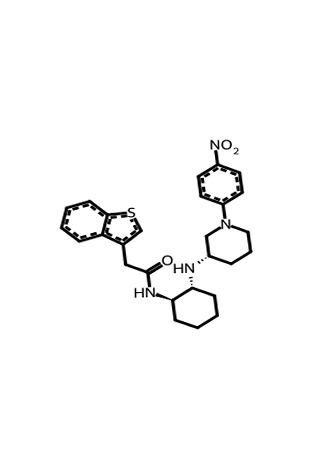 O=C(Cc1csc2ccccc12)N[C@@H]1CCCC[C@H]1N[C@H]1CCCN(c2ccc([N+](=O)[O-])cc2)C1